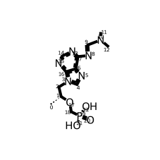 C[C@H](Cn1cnc2c(/N=C/N(C)C)ncnc21)OCP(=O)(O)O